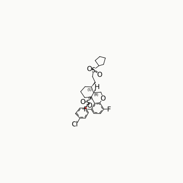 O=S(=O)(CC[C@@H]1CCC[C@@]2(S(=O)(=O)c3ccc(Cl)cc3)c3c(F)ccc(F)c3OC[C@@H]12)C1CCCC1